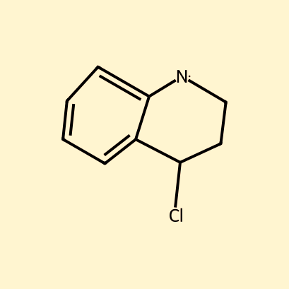 ClC1CC[N]c2ccccc21